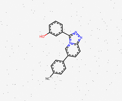 N#Cc1ccc(-c2ccc3nnc(-c4cccc(O)c4)n3c2)cc1